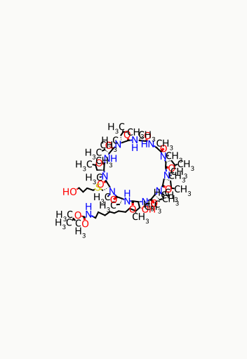 CC[C@H]1NC(=O)[C@H]([C@H](O)[C@H](C)CCCCCCCCNC(=O)OC(C)(C)C)N(C)C(=O)[C@@H](C(C)C)N(C)C(=O)[C@@H](CC(C)C)N(C)C(=O)[C@@H](CC(C)C)N(C)C(=O)[C@H](C)NC(=O)[C@@H](C)NC(=O)[C@@H](CC(C)C)N(C)C(=O)[C@@H](C(C)C)NC(=O)[C@H](CC(C)C)N(C)C(=O)[C@@H](CSCCCCO)N(C)C1=O